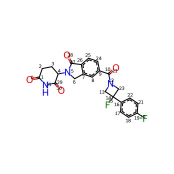 O=C1CCC(N2Cc3cc(C(=O)N4CC(F)(c5ccc(F)cc5)C4)ccc3C2=O)C(=O)N1